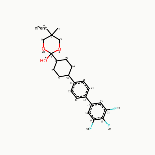 CCCCCC1(C)COC(O)(C2CCC(c3ccc(-c4cc(F)c(F)c(F)c4)cc3)CC2)OC1